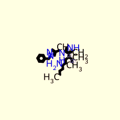 C=C(Nc1c[nH]c(=C)/c1=C(CCC(N)CCCC)\C(C)=C/C)c1cnn(Cc2ccccc2)c1